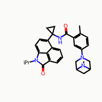 Cc1ccc(N2CC3CC(C2)N3C)cc1C(=O)NC1(c2ccc3c4c(cccc24)C(=O)N3C(C)C)CC1